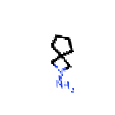 NN1CC2(CCCC2)C1